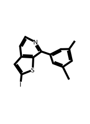 Cc1cc(C)cc(-c2nccc3cc(I)sc23)c1